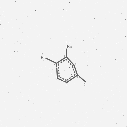 Cc1ccc(Br)c(C(C)(C)C)c1